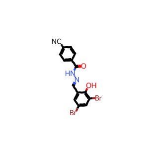 N#Cc1ccc(C(=O)NN=Cc2cc(Br)cc(Br)c2O)cc1